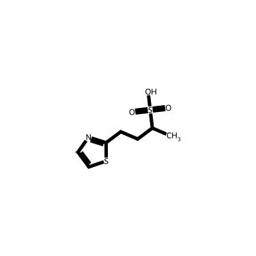 CC(CCc1n[c]cs1)S(=O)(=O)O